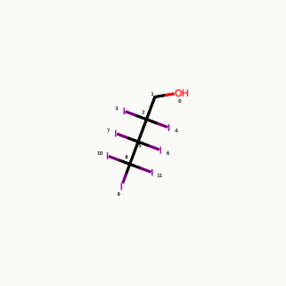 OCC(I)(I)C(I)(I)C(I)(I)I